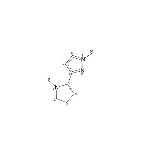 CN1CCCC1c1ccn(C)n1